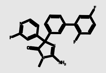 CN1C(=O)C(c2cccc(-c3cc(F)ccc3F)c2)(c2ccnc(F)c2)N=C1N